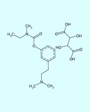 CCN(C)C(=O)Oc1cccc(CCN(C)C)c1.O=C(O)C(O)C(O)C(=O)O